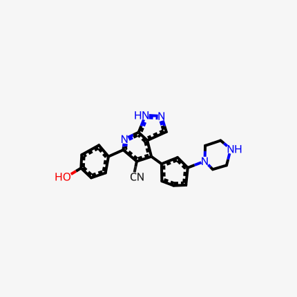 N#Cc1c(-c2ccc(O)cc2)nc2[nH]ncc2c1-c1cccc(N2CCNCC2)c1